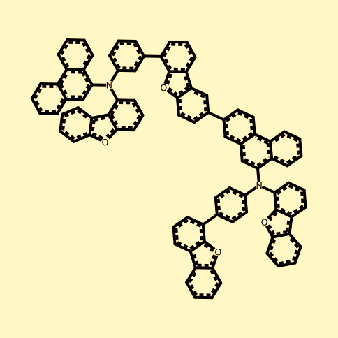 c1cc(-c2cccc3c2oc2ccc(-c4ccc5c(c4)cc(N(c4ccc(-c6cccc7c6oc6ccccc67)cc4)c4cccc6c4oc4ccccc46)c4ccccc45)cc23)cc(N(c2cc3ccccc3c3ccccc23)c2cccc3oc4ccccc4c23)c1